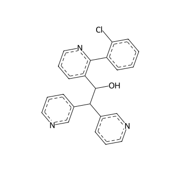 OC(c1cccnc1-c1ccccc1Cl)C(c1cccnc1)c1cccnc1